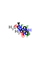 COc1cc2ncc(-c3nc(N[C@H]4CN(C(=O)OC(C)(C)C)CC(F)(F)C4)c(F)cc3F)n2nc1C1CC1